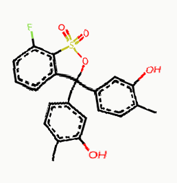 Cc1ccc(C2(c3ccc(C)c(O)c3)OS(=O)(=O)c3c(F)cccc32)cc1O